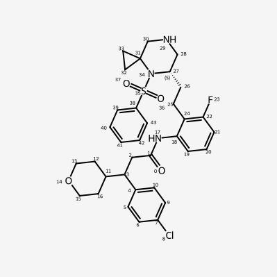 O=C(CC(c1ccc(Cl)cc1)C1CCOCC1)Nc1cccc(F)c1CC[C@H]1CNCC2(CC2)N1S(=O)(=O)c1ccccc1